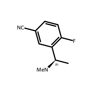 CN[C@H](C)c1cc(C#N)ccc1F